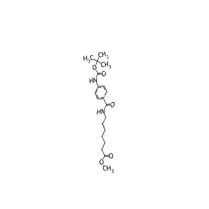 COC(=O)CCCCCCNC(=O)c1ccc(NC(=O)OC(C)(C)C)cc1